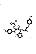 COc1ccc(CCN(C)CCN2C(=O)[C@@H](OCC(=O)O)[C@@H](c3ccc(OC)cc3)Sc3ccccc32)cc1